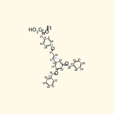 CCO[C@@H](Cc1ccc(OC/C=C/c2cc(OCc3ccccc3)cc(OCc3ccccc3)c2)cc1)C(=O)O